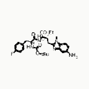 CCOC(=O)[C@H](CCc1nc2cc(N)ccc2n1C)NC(=O)[C@H](Cc1ccc(F)cc1)NC(=O)OC(C)(C)C